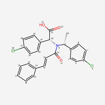 C[C@H](c1ccc(Cl)cc1)N(C(=O)C=Cc1ccccc1)[C@@H](C(=O)O)c1ccc(Cl)cc1